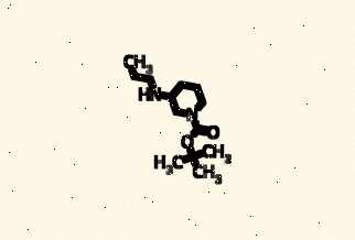 CCCNC1CCCN(C(=O)OC(C)(C)C)C1